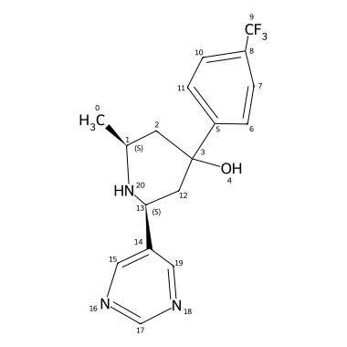 C[C@H]1CC(O)(c2ccc(C(F)(F)F)cc2)C[C@@H](c2cncnc2)N1